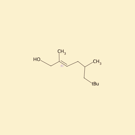 C/C(=C\CC(C)CC(C)(C)C)CO